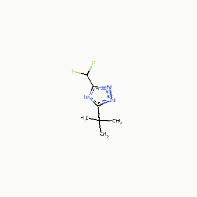 CC(C)(C)c1nnc(C(F)F)[nH]1